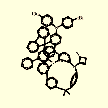 C[C@H]1CC=C1N1c2ccc(cc2)C(C)(C)c2ccc(cc2)-c2cccc(-c3ccccc3)c2N2c3cc1ccc3B1c3ccc(N(c4ccc(C(C)(C)C)cc4)c4ccc(C(C)(C)C)cc4)cc3C3(c4ccccc4-c4ccccc43)c3cc(-c4ccccc4)cc2c31